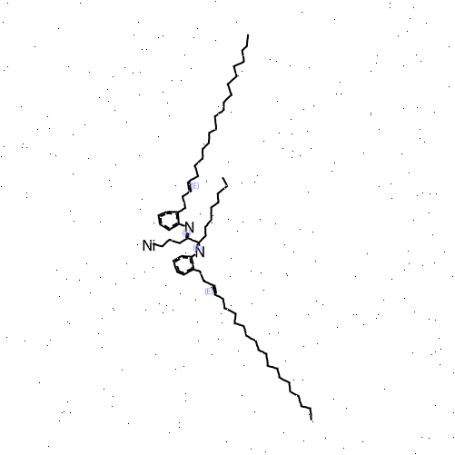 CCCCCCCCCCCCCCCCCC/C=C/CCc1ccccc1/N=C(CCCCCCCC)\C(CCCC)=N\c1ccccc1CC/C=C/CCCCCCCCCCCCCCCCCC.[Ni]